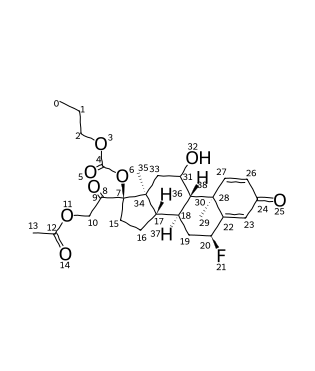 CCCOC(=O)O[C@]1(C(=O)COC(C)=O)CC[C@H]2[C@@H]3C[C@H](F)C4=CC(=O)C=C[C@]4(C)[C@H]3C(O)C[C@@]21C